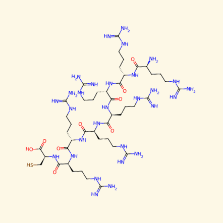 N=C(N)NCCC[C@H](NC(=O)[C@H](CCCNC(=N)N)NC(=O)[C@H](CCCNC(=N)N)NC(=O)[C@H](CCCNC(=N)N)NC(=O)[C@H](CCCNC(=N)N)NC(=O)[C@H](CCCNC(=N)N)NC(=O)[C@@H](N)CCCNC(=N)N)C(=O)N[C@@H](CS)C(=O)O